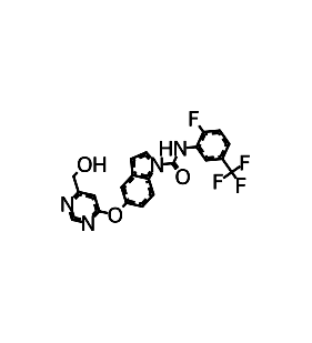 O=C(Nc1cc(C(F)(F)F)ccc1F)n1ccc2cc(Oc3cc(CO)ncn3)ccc21